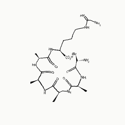 CC[C@H](C)[C@H](N)C(=O)N[C@@H](C)C(=O)N[C@@H](C)C(=O)N[C@@H](C)C(=O)N[C@@H](C)C(=O)N[C@@H](CCCNC(=N)N)C(=O)O